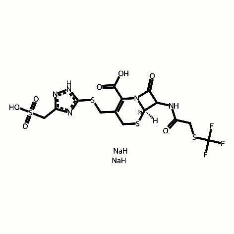 O=C(CSC(F)(F)F)NC1C(=O)N2C(C(=O)O)=C(CSc3nc(CS(=O)(=O)O)n[nH]3)CS[C@H]12.[NaH].[NaH]